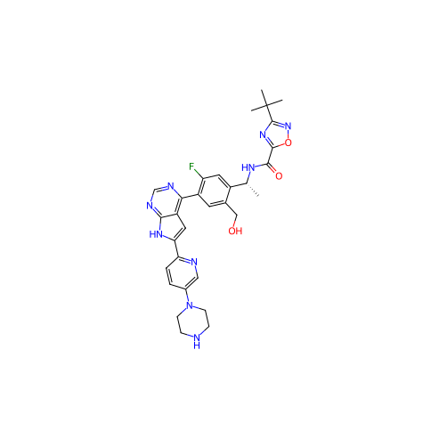 C[C@@H](NC(=O)c1nc(C(C)(C)C)no1)c1cc(F)c(-c2ncnc3[nH]c(-c4ccc(N5CCNCC5)cn4)cc23)cc1CO